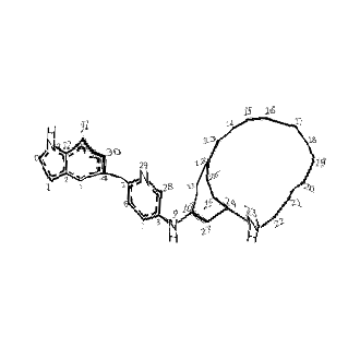 c1cc2cc(-c3ccc(NC4CC5CCCCCCCCCCNC(CC5)C4)cn3)ccc2[nH]1